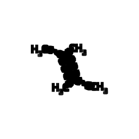 Cc1ccc(/C=C/c2ccc(N(c3ccc(C)cc3)c3c4ccccc4c(-c4c5ccccc5c(-c5c6ccccc6c(N(c6ccc(C)cc6)c6ccc(/C=C/c7ccc(C)cc7)cc6)c6ccccc56)c5ccccc45)c4ccccc34)cc2)cc1